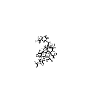 CC(=O)OCC[C@]12COC[C@H]1[C@]1(C)CC[C@@H]3[C@@](C)(C1[C@H](OC(C)=O)[C@@H]2OC(C)=O)[C@H](OC(C)=O)C=C(C)[C@]3(O)CCc1cccc(C(F)(F)F)c1